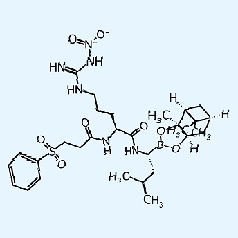 CC(C)C[C@H](NC(=O)[C@H](CCCNC(=N)N[N+](=O)[O-])NC(=O)CCS(=O)(=O)c1ccccc1)B1O[C@@H]2C[C@@H]3C[C@@H](C3(C)C)[C@]2(C)O1